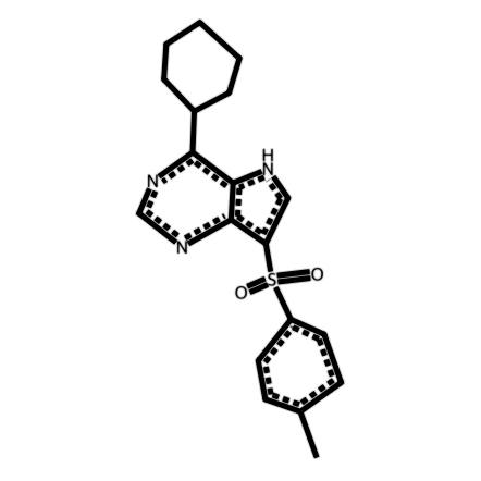 Cc1ccc(S(=O)(=O)c2c[nH]c3c(C4CCCCC4)ncnc23)cc1